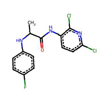 CC(Nc1ccc(F)cc1)C(=O)Nc1ccc(Cl)nc1Cl